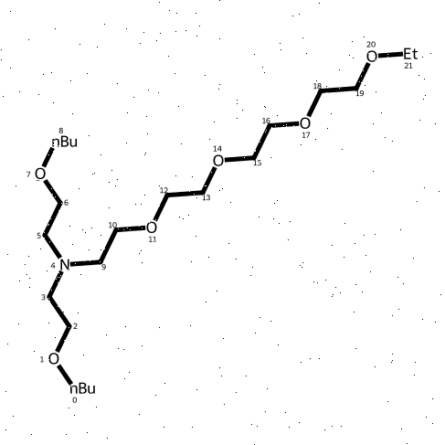 CCCCOCCN(CCOCCCC)CCOCCOCCOCCOCC